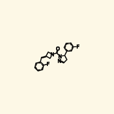 O=C(N1CC(=Cc2ccccc2F)C1)N1N=CCC1c1cccc(F)c1